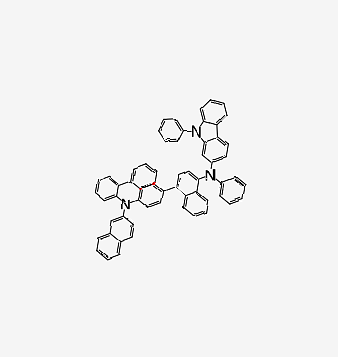 c1ccc(-c2ccccc2N(c2ccc(-c3ccc(N(c4ccccc4)c4ccc5c6ccccc6n(-c6ccccc6)c5c4)c4ccccc34)cc2)c2ccc3ccccc3c2)cc1